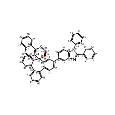 c1ccc(-c2nc3cc(-c4ccc5c(c4)C4(c6ccccc6Sc6c4ccc4ccccc64)c4ccccc4-c4ccccc4-5)ccc3n2-c2ccccc2)cc1